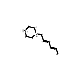 [CH2]/C=C/C=C/CN1CCNCC1